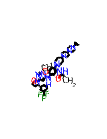 C=CC(=O)Nc1cc(Nc2cc(N3OCC[C@@H]3c3cccc(C(F)(F)F)c3)ncn2)c(OC)cc1N1CCC(N2CCC(N3CCN(C4CC4)CC3)CC2)CC1